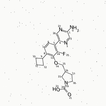 Nc1cnc(-c2ccc(C3CCC3)c(OCC3CCN(C(=O)O)C3)c2F)cn1